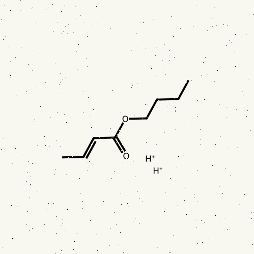 [CH2]CCCOC(=O)C=CC.[H+].[H+]